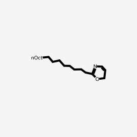 CCCCCCCCCCCCCCCCC1=NC=CCO1